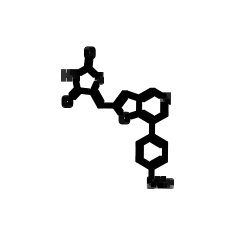 CSc1ccc(-c2cncc3cc(/C=C4\SC(=O)NC4=O)oc23)cc1